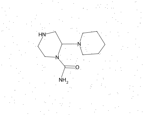 NC(=O)N1CCNCC1N1CCCCC1